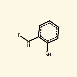 FNc1ccccc1S